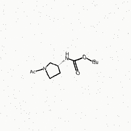 CC(=O)N1CC[C@@H](NC(=O)OC(C)(C)C)C1